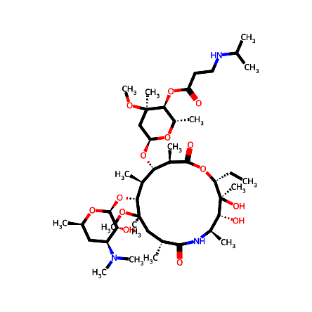 CC[C@H]1OC(=O)[C@H](C)[C@@H](O[C@H]2C[C@@](C)(OC)[C@@H](OC(=O)CCNC(C)C)[C@H](C)O2)[C@H](C)[C@@H](O[C@@H]2O[C@H](C)C[C@H](N(C)C)[C@H]2O)[C@](C)(OC)C[C@@H](C)C(=O)N[C@H](C)[C@@H](O)[C@]1(C)O